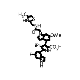 COc1cc(-c2c(C(=O)O)[nH]c(-c3cc(F)cc4[nH]ccc34)c2C(C)C)c2ccn(CC(=O)NCC3NC(C)=CS3)c2c1